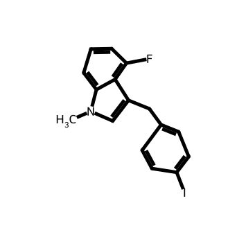 Cn1cc(Cc2ccc(I)cc2)c2c(F)cccc21